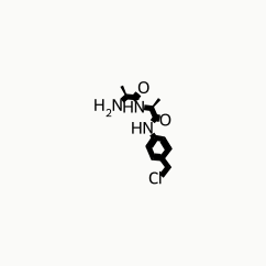 C[C@H](N)C(=O)N[C@@H](C)C(=O)Nc1ccc(CCl)cc1